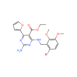 CCOC(=O)c1c(NCc2c(Br)ccc(OC)c2OC)nc(N)nc1-c1ccco1